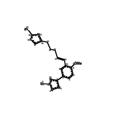 CCn1nnc(-c2ccc(OC)c(/C=C/CCCc3csc(C(C)C)n3)c2)n1